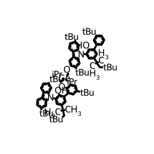 C[CH](C)[Ge]([CH2]Oc1ccc(C(C)(C)C)cc1-c1cc(C(C)(C)CC(C)(C)C)cc(-n2c3cc(C(C)(C)C)ccc3c3ccc(C(C)(C)C)cc32)c1O)([CH2]Oc1cc2c3ccc(C(C)(C)C)cc3n(-c3cc(C(C)(C)CC(C)(C)C)cc(-c4cccc(C(C)(C)C)c4)c3O)c2cc1C(C)(C)C)[CH](C)C